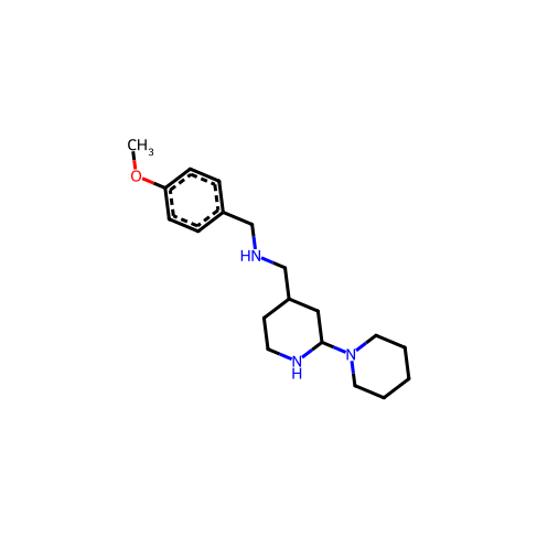 COc1ccc(CNCC2CCNC(N3CCCCC3)C2)cc1